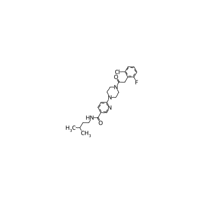 CC(C)CCNC(=O)c1ccc(N2CCN(C(=O)Cc3c(F)cccc3Cl)CC2)nc1